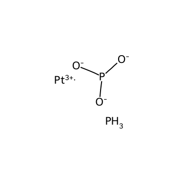 P.[O-]P([O-])[O-].[Pt+3]